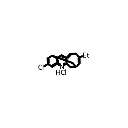 CCC1=CC2Cc3nc4c(cc3=CC1)C(C=C(Cl)C=4)C2.Cl